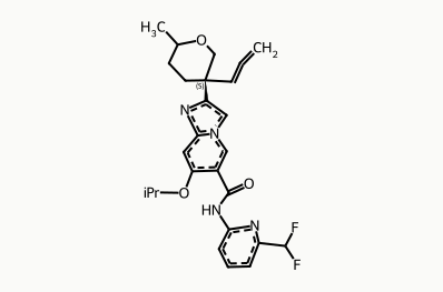 C=C=C[C@]1(c2cn3cc(C(=O)Nc4cccc(C(F)F)n4)c(OC(C)C)cc3n2)CCC(C)OC1